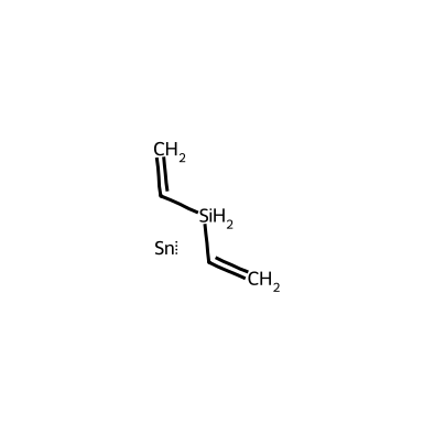 C=C[SiH2]C=C.[Sn]